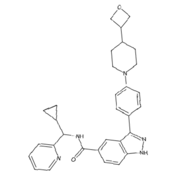 O=C(NC(c1ccccn1)C1CC1)c1ccc2[nH]nc(-c3ccc(N4CCC(C5COC5)CC4)cc3)c2c1